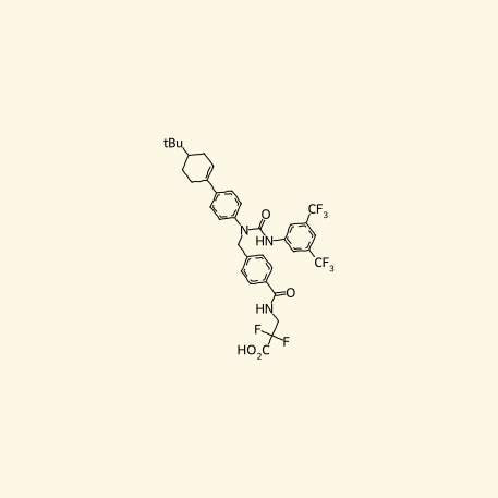 CC(C)(C)C1CC=C(c2ccc(N(Cc3ccc(C(=O)NCC(F)(F)C(=O)O)cc3)C(=O)Nc3cc(C(F)(F)F)cc(C(F)(F)F)c3)cc2)CC1